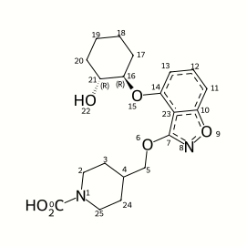 O=C(O)N1CCC(COc2noc3cccc(O[C@@H]4CCCC[C@H]4O)c23)CC1